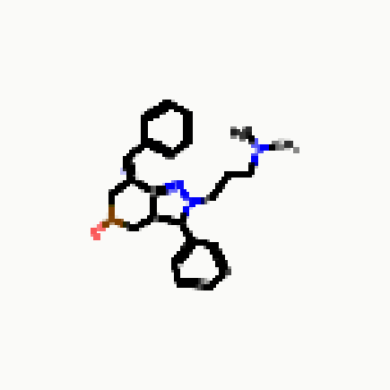 CN(C)CCCN1N=C2/C(=C\c3ccccc3)C[S+]([O-])CC2C1c1ccccc1